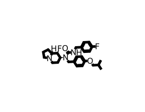 CC(C)COc1ccc(CN(C(=O)NCc2ccc(F)cc2)[C@@H]2CCN3CCC[C@H]3[C@@H]2F)cc1